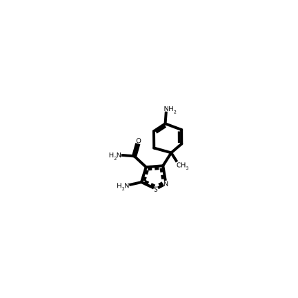 CC1(c2nsc(N)c2C(N)=O)C=CC(N)=CC1